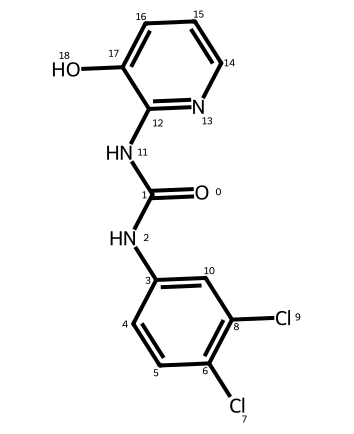 O=C(Nc1ccc(Cl)c(Cl)c1)Nc1ncccc1O